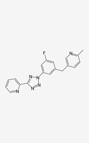 Cc1ccc(Cc2cc(F)cc(-n3nnc(-c4ccccn4)n3)c2)cn1